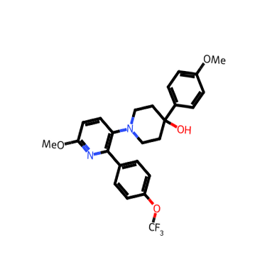 COc1ccc(C2(O)CCN(c3ccc(OC)nc3-c3ccc(OC(F)(F)F)cc3)CC2)cc1